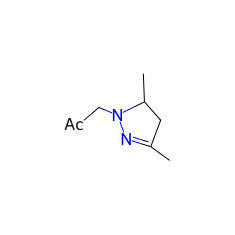 CC(=O)CN1N=C(C)CC1C